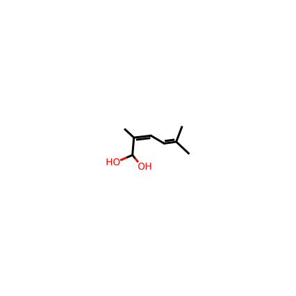 CC(C)=CC=C(C)C(O)O